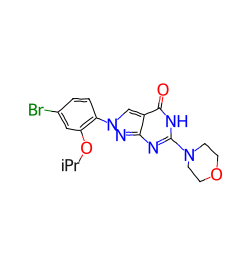 CC(C)Oc1cc(Br)ccc1-n1cc2c(=O)[nH]c(N3CCOCC3)nc2n1